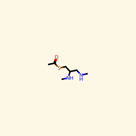 CNCC(CSC(C)=O)NC